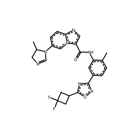 Cc1ccc(-c2noc(C3CC(F)(F)C3)n2)cc1NC(=O)c1cnc2ccc(N3C=NCC3C)cn12